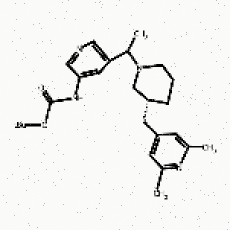 Cc1cc(C[C@H]2CCCN(C(C)c3cncc(NC(=O)OC(C)(C)C)c3)C2)cc(C)n1